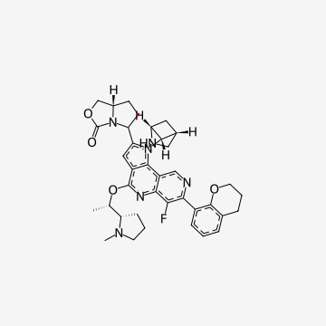 C[C@H](Oc1nc2c(F)c(-c3cccc4c3OCCC4)ncc2c2c1cc(C1CC[C@H]3COC(=O)N13)n2[C@H]1[C@H]2CN[C@@H]1C2)[C@@H]1CCCN1C